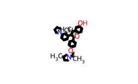 CC1=C(c2cccc(N3CCCC3)c2C)C(c2ccc(OC[C@H](C)N3CC[C@@H](C)C3)cc2)Oc2ccc(O)cc21